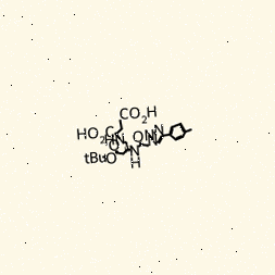 Cc1ccc(-c2cn(CC(=O)N[C@H](CNC(CCC(=O)O)C(=O)O)CC(=O)OC(C)(C)C)nn2)cc1